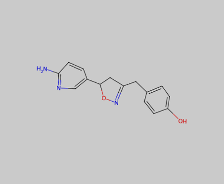 Nc1ccc(C2CC(Cc3ccc(O)cc3)=NO2)cn1